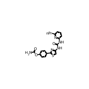 CCCc1cccc(NC(=O)Nc2csc(-c3ccc(OC(N)=O)cc3)n2)n1